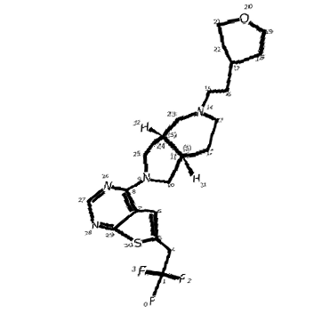 FC(F)(F)Cc1cc2c(N3C[C@H]4CCN(CCC5CCOCC5)C[C@H]4C3)ncnc2s1